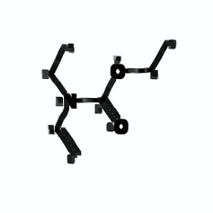 C=CN(CC)C(=O)OCC